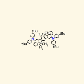 CC(C)(C)C1=CC=C(N(C2=CCC(C(C)(C)C)C=C2)C2=CC3c4cc5c(cc4C(C)(C)C3C3CC=CC=C23)C2C=C(N(C3=CC=C(C(C)(C)C)CC3)c3ccc(C(C)(C)C)cc3)C3=CC=CCC3C2C5(C)C)CC1